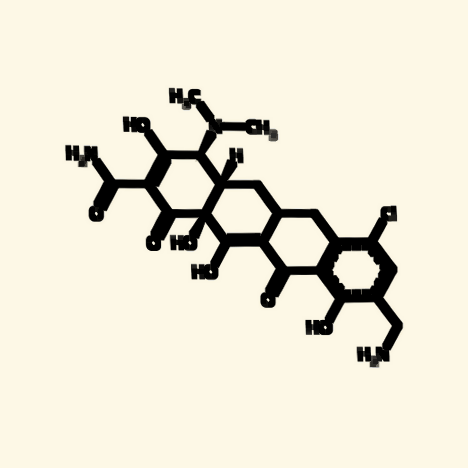 CN(C)[C@@H]1C(O)=C(C(N)=O)C(=O)[C@@]2(O)C(O)=C3C(=O)c4c(O)c(CN)cc(Cl)c4CC3C[C@@H]12